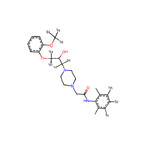 [2H]c1c([2H])c(C)c(NC(=O)CN2CCN(C([2H])([2H])C(O)C([2H])([2H])Oc3ccccc3OC([2H])([2H])[2H])CC2)c(C)c1[2H]